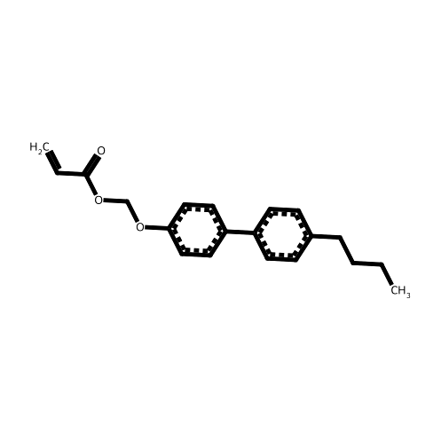 C=CC(=O)OCOc1ccc(-c2ccc(CCCC)cc2)cc1